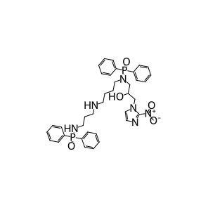 O=[N+]([O-])c1nccn1CC(O)CN(CCCCNCCCNP(=O)(c1ccccc1)c1ccccc1)P(=O)(c1ccccc1)c1ccccc1